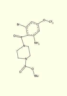 CC(C)(C)OC(=O)N1CCN(C(=O)c2c(N)cc(OC(F)(F)F)cc2Br)CC1